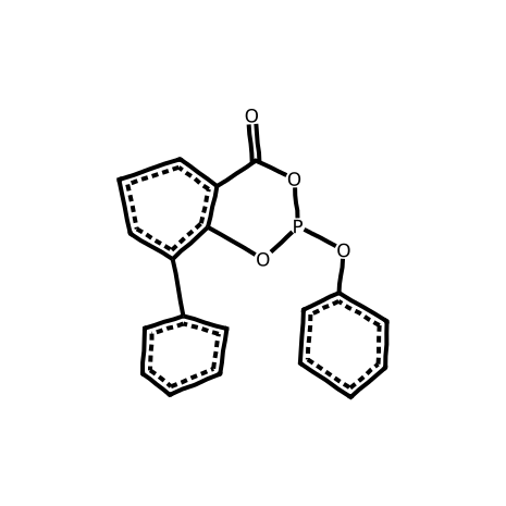 O=C1OP(Oc2ccccc2)Oc2c1cccc2-c1ccccc1